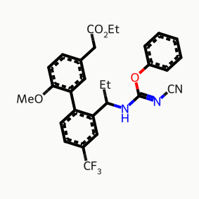 CCOC(=O)Cc1ccc(OC)c(-c2ccc(C(F)(F)F)cc2C(CC)NC(=NC#N)Oc2ccccc2)c1